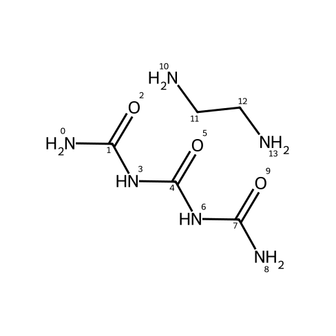 NC(=O)NC(=O)NC(N)=O.NCCN